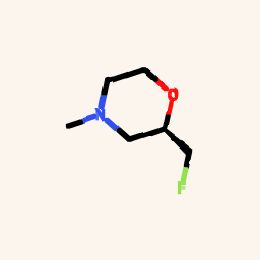 CN1CCO[C@@H](CF)C1